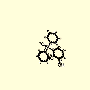 O=P(c1ccccc1)(c1ccccc1)c1cccc(O)c1O